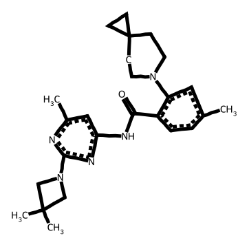 Cc1ccc(C(=O)Nc2cc(C)nc(N3CC(C)(C)C3)n2)c(N2CCC3(CC2)CC3)c1